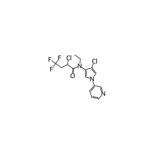 CCN(C(=O)C(Cl)CC(F)(F)F)c1cn(-c2cccnc2)cc1Cl